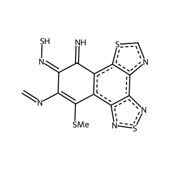 C=NC1=C(SC)c2c(c3scnc3c3nsnc23)C(=N)/C1=N\S